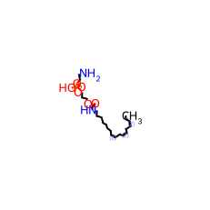 CC/C=C\C/C=C\C/C=C\CCCCCCCNC(=O)OCCCOP(=O)(O)OCCN